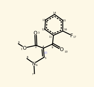 COC(=O)/C(=C\N(C)C)C(=O)c1ccccc1F